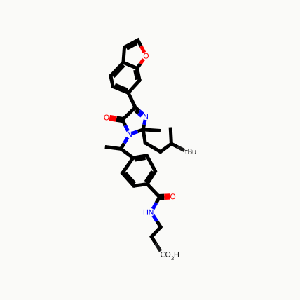 CC(c1ccc(C(=O)NCCC(=O)O)cc1)N1C(=O)C(c2ccc3ccoc3c2)=NC1(C)CCC(C)C(C)(C)C